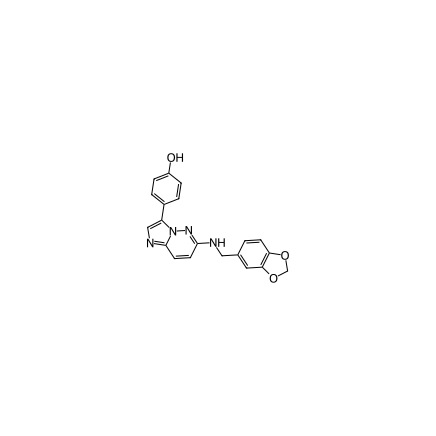 Oc1ccc(-c2cnc3ccc(NCc4ccc5c(c4)OCO5)nn23)cc1